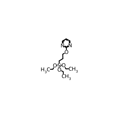 CCO[Si](CCCOc1ncccn1)(OCC)OCC